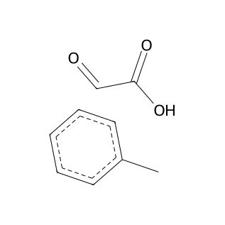 Cc1ccccc1.O=CC(=O)O